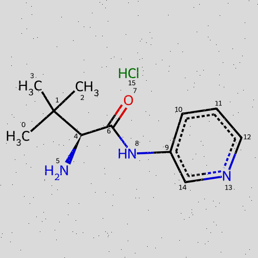 CC(C)(C)[C@H](N)C(=O)Nc1cccnc1.Cl